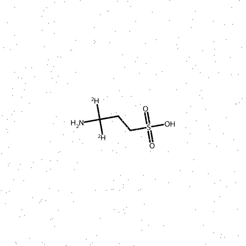 [2H]C([2H])(N)CCS(=O)(=O)O